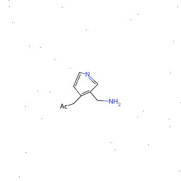 CC(=O)Cc1ccncc1CN